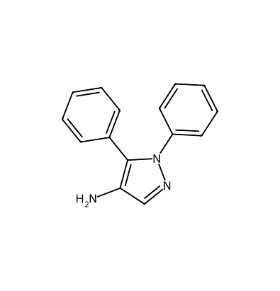 Nc1cnn(-c2ccccc2)c1-c1ccccc1